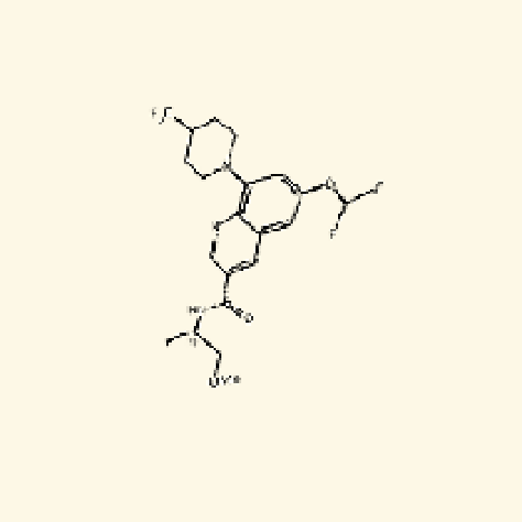 COC[C@@H](C)NC(=O)c1cnc2c(N3CCC(C(F)(F)F)CC3)cc(OC(F)F)cc2c1